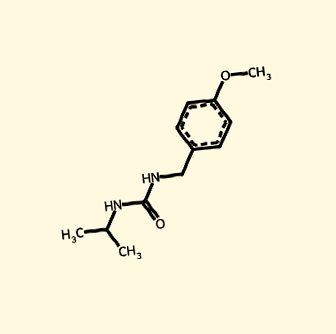 COc1ccc(CNC(=O)NC(C)C)cc1